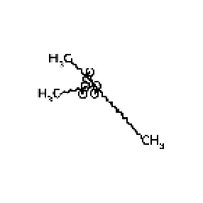 CCCCCCCCCC=CC=CC=CC=CC=CC(=O)OC(COC(=O)CCCCCCC)COC(=O)CCCCCCC